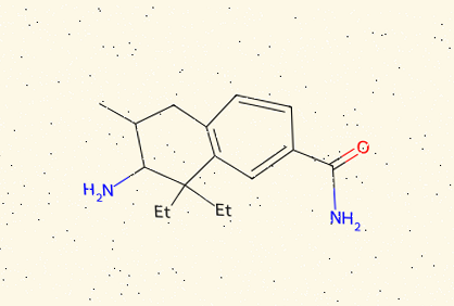 CCC1(CC)c2cc(C(N)=O)ccc2CC(C)C1N